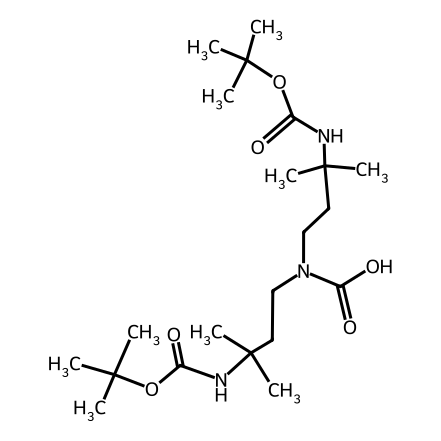 CC(C)(CCN(CCC(C)(C)NC(=O)OC(C)(C)C)C(=O)O)NC(=O)OC(C)(C)C